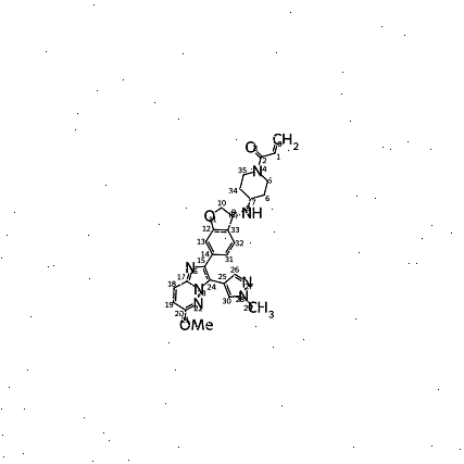 C=CC(=O)N1CCC(N[C@H]2COc3cc(-c4nc5ccc(OC)nn5c4-c4cnn(C)c4)ccc32)CC1